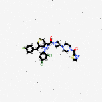 O=C(c1nccs1)N1CCN(C2CN(C(=O)c3nn(-c4ccc(Cl)cc4Cl)c4c3CSCC4=Cc3ccc(F)cc3)C2)CC1